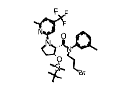 Cc1cccc(N(CCCBr)C(=O)[C@@H]2[C@H](O[Si](C)(C)C(C)(C)C)CCN2c2cc(C(F)(F)F)cc(C)n2)c1